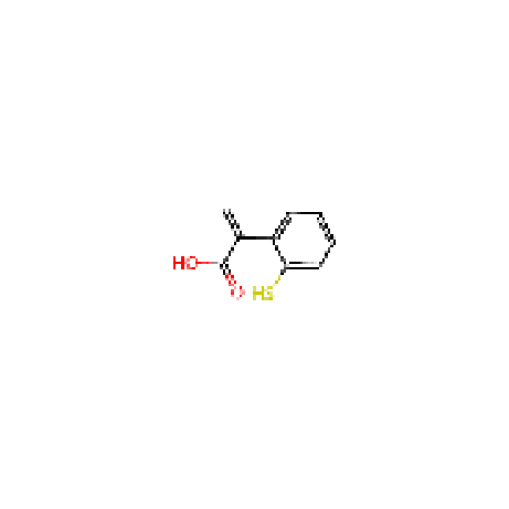 C=C(C(=O)O)c1ccccc1S